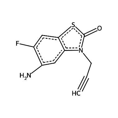 C#CCn1c(=O)sc2cc(F)c(N)cc21